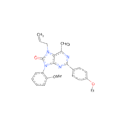 C=CCn1c(=O)n(-c2ccccc2OC)c2nc(-c3ccc(OCC)cc3)nc(C=O)c21